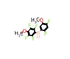 COc1cc(Bc2c(F)c(F)c(OC)c(F)c2F)c(F)cc1F